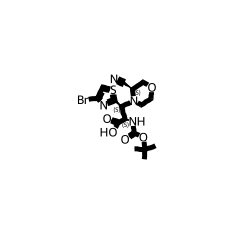 CC(C)(C)OC(=O)N[C@H](C(=O)O)[C@@H](c1nc(Br)cs1)N1CCOC[C@@H]1C#N